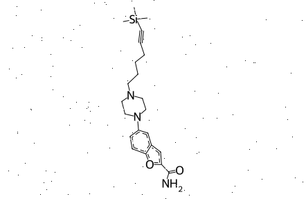 C[Si](C)(C)C#CCCCCN1CCN(c2ccc3oc(C(N)=O)cc3c2)CC1